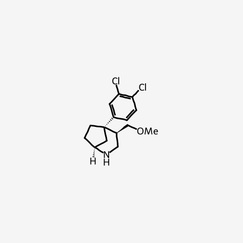 COC[C@H]1CN[C@H]2CC[C@]1(c1ccc(Cl)c(Cl)c1)C2